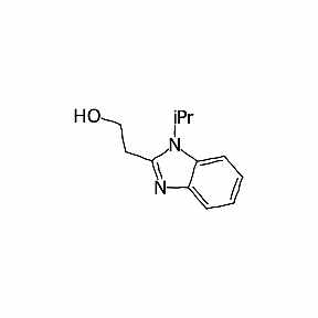 CC(C)n1c(CCO)nc2ccccc21